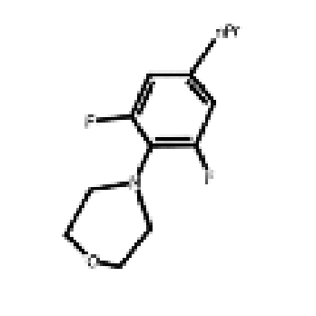 CCCc1cc(F)c(N2CCOCC2)c(F)c1